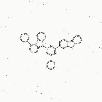 c1ccc(-c2nc(-c3ccc4c(c3)sc3ccccc34)nc(-n3c4ccccc4c4c(-c5ccccc5)cccc43)n2)cc1